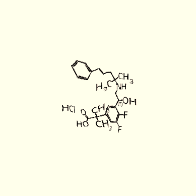 CC(C)(CCCc1ccccc1)NC[C@@H](O)c1cc(C(C)(C)C(=O)O)cc(F)c1F.Cl